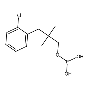 CC(C)(COP(O)O)Cc1ccccc1Cl